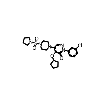 O=c1c(OC2CCCC2)c(N2CCN(S(=O)(=O)N3CCCC3)CC2)cnn1-c1cccc(Cl)c1